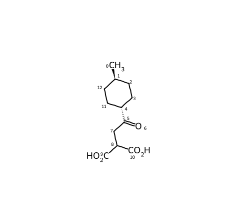 C[C@H]1CC[C@H](C(=O)CC(C(=O)O)C(=O)O)CC1